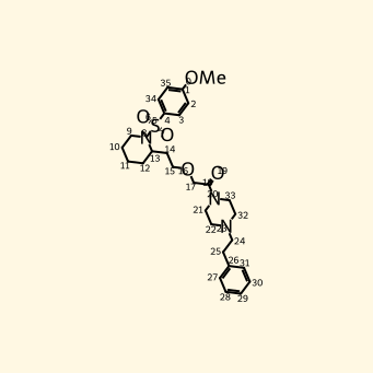 COc1ccc(S(=O)(=O)N2CCCCC2CCOCC(=O)N2CCN(CCc3ccccc3)CC2)cc1